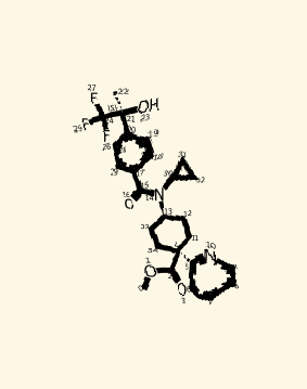 COC(=O)[C@]1(c2ccccn2)CC[C@H](N(C(=O)c2ccc([C@](C)(O)C(F)(F)F)cc2)C2CC2)CC1